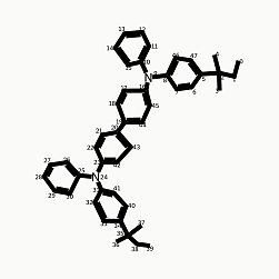 CCC(C)(C)c1ccc(N(c2ccccc2)c2ccc(-c3ccc(N(c4ccccc4)c4ccc(C(C)(C)CC)cc4)cc3)cc2)cc1